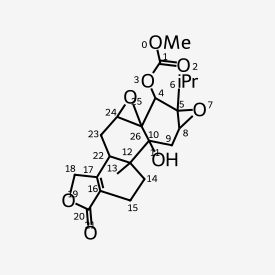 COC(=O)OC1C2(C(C)C)OC2CC2(O)C3(C)CCC4=C(COC4=O)C3CC3OC312